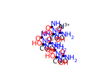 NC(=O)NC(O)(C(=O)[O-])N(O)C(N)=O.NC(=O)NC(O)(C(=O)[O-])N(O)C(N)=O.NC(=O)NC(O)(C(=O)[O-])N(O)C(N)=O.[Al+3]